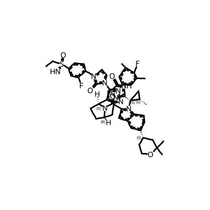 CCS(=N)(=O)c1ccc(-n2ccn(-c3c4c(nn3-c3cc(C)c(F)c(C)c3)C[C@H]3CC[C@@H]4N3C(=O)c3cc4cc([C@H]5CCOC(C)(C)C5)ccc4n3[C@@]3(c4noc(=O)[nH]4)C[C@@H]3C)c2=O)c(F)c1